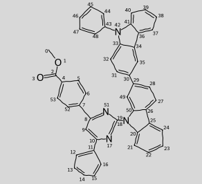 COC(=O)c1ccc(-c2cc(-c3ccccc3)nc(-n3c4ccccc4c4ccc(-c5ccc6c(c5)c5ccccc5n6-c5ccccc5)cc43)n2)cc1